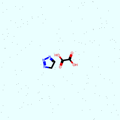 C1=NN=NC1.O=C(O)C(=O)O